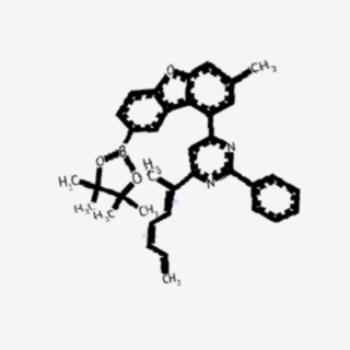 C=C/C=C\C=C(/C)c1cc(-c2cc(C)cc3oc4ccc(B5OC(C)(C)C(C)(C)O5)cc4c23)nc(-c2ccccc2)n1